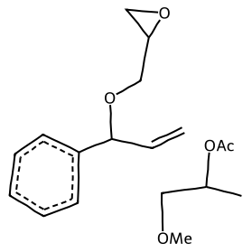 C=CC(OCC1CO1)c1ccccc1.COCC(C)OC(C)=O